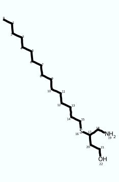 CCCCCCCCCCCCCCCCSC(CN)CCO